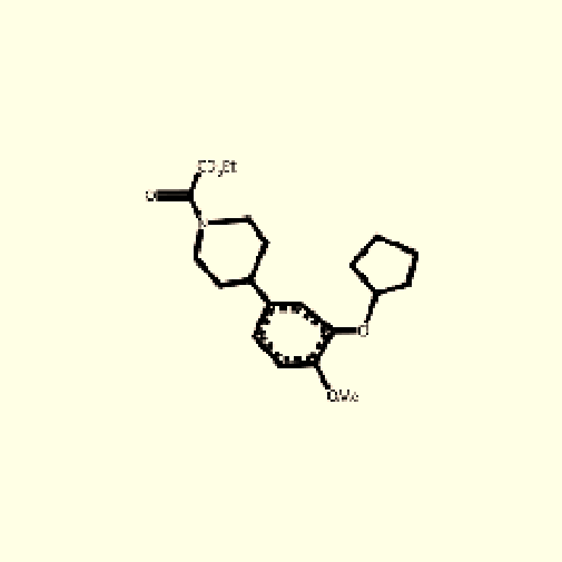 CCOC(=O)C(=O)N1CCC(c2ccc(OC)c(OC3CCCC3)c2)CC1